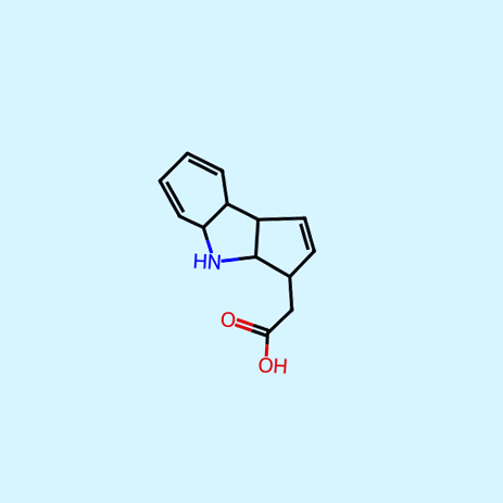 O=C(O)CC1C=CC2C3C=CC=CC3NC12